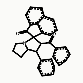 O=C(c1ccccc1)C1C(c2ccccc2)C2CCCN2C12C(=O)c1cccc3cccc2c13